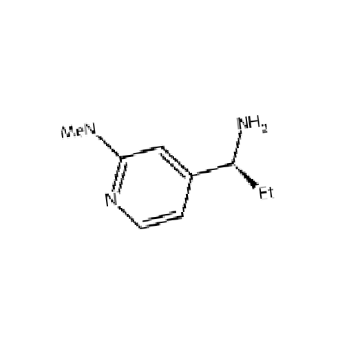 CC[C@H](N)c1ccnc(NC)c1